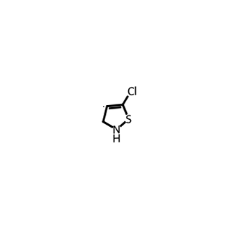 ClC1=[C]CNS1